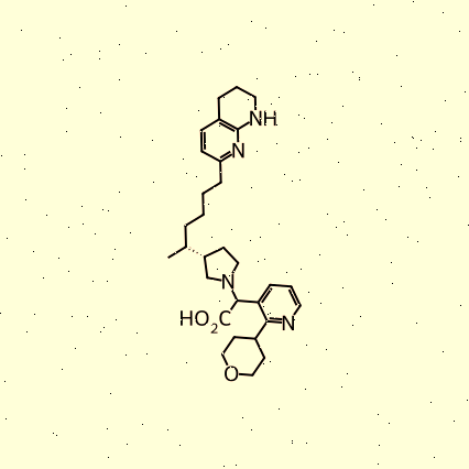 CC(CCCCc1ccc2c(n1)NCCC2)[C@@H]1CCN(C(C(=O)O)c2cccnc2C2CCOCC2)C1